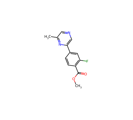 COC(=O)c1ccc(-c2cncc(C)n2)cc1F